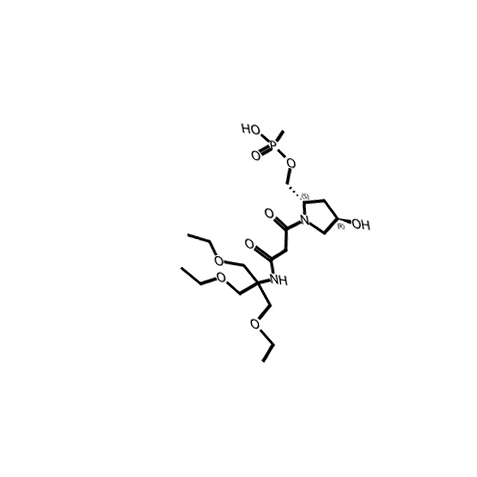 CCOCC(COCC)(COCC)NC(=O)CC(=O)N1C[C@H](O)C[C@H]1COP(C)(=O)O